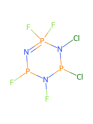 FN1P(F)N=P(F)(F)N(Cl)P1Cl